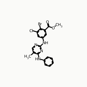 COC(=O)c1cc(Nc2ncc(C)c(Nc3ccccc3)n2)cc(Cl)c1Br